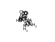 CCCC(Nc1nc(N)nc(N)c1Cl)c1nc2cccc(Cl)c2c(=O)n1-c1c[nH]cn1